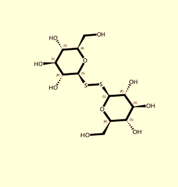 OC[C@H]1O[C@@H](SS[C@@H]2O[C@H](CO)[C@@H](O)[C@H](O)[C@H]2O)[C@H](O)[C@@H](O)[C@@H]1O